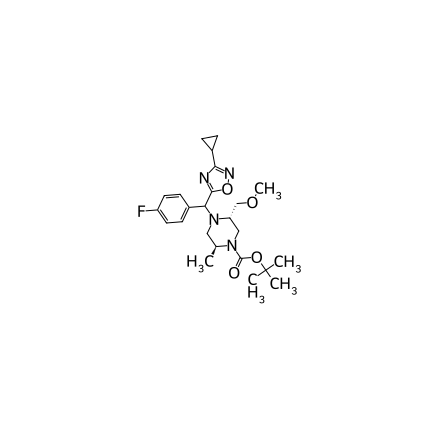 COC[C@@H]1CN(C(=O)OC(C)(C)C)[C@@H](C)CN1C(c1ccc(F)cc1)c1nc(C2CC2)no1